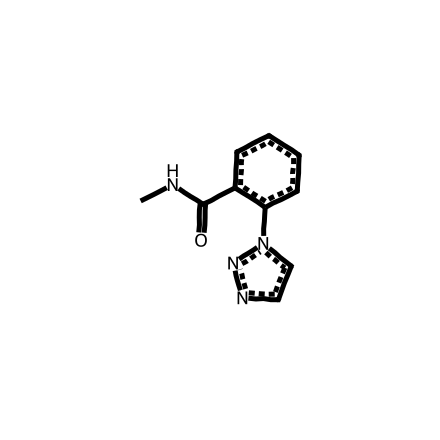 CNC(=O)c1ccccc1-n1ccnn1